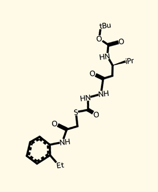 CCc1ccccc1NC(=O)CSC(=O)NNC(=O)C[C@@H](NC(=O)OC(C)(C)C)C(C)C